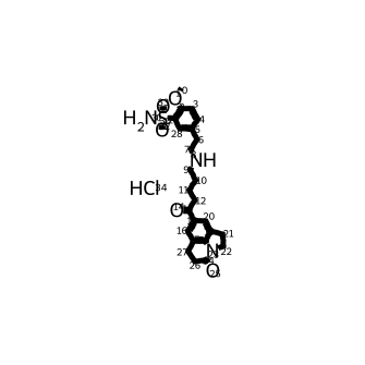 COc1ccc(CCNCCCCC(=O)c2cc3c4c(c2)CCN4C(=O)CC3)cc1S(N)(=O)=O.Cl